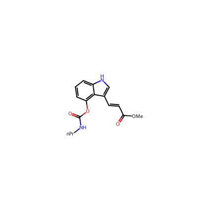 CCCNC(=O)Oc1cccc2[nH]cc(C=CC(=O)OC)c12